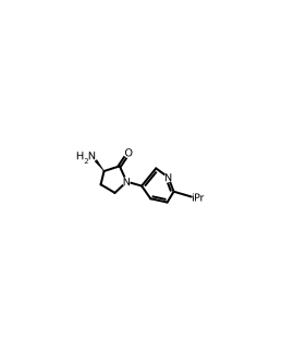 CC(C)c1ccc(N2CC[C@@H](N)C2=O)cn1